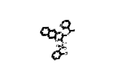 CC(Oc1nc2cc3ccccc3cc2nc1NS(=O)(=O)c1ccccc1Cl)c1cccnc1